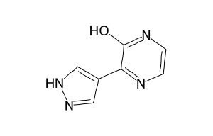 Oc1nccnc1-c1cn[nH]c1